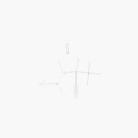 CC(C)(C)C1(C#N)CC(=O)CN1C(=O)O